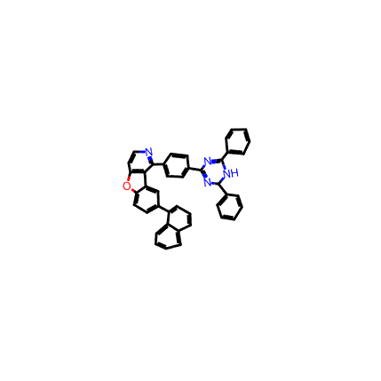 c1ccc(C2=NC(c3ccc(-c4nccc5oc6ccc(-c7cccc8ccccc78)cc6c45)cc3)=NC(c3ccccc3)N2)cc1